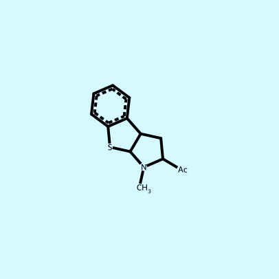 CC(=O)C1CC2c3ccccc3SC2N1C